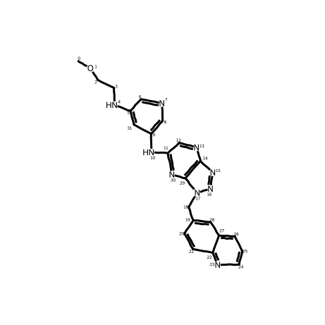 COCCNc1cncc(Nc2cnc3nnn(Cc4ccc5ncccc5c4)c3n2)c1